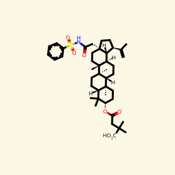 C=C(C)[C@@H]1CC[C@]2(CC(=O)NS(=O)(=O)c3ccccc3)CC[C@]3(C)[C@H](CC[C@@H]4[C@@]5(C)CC[C@H](OC(=O)CC(C)(C)C(=O)O)C(C)(C)[C@@H]5CC[C@]43C)[C@@H]12